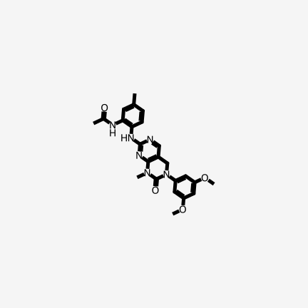 COc1cc(OC)cc(N2Cc3cnc(Nc4ccc(C)cc4NC(C)=O)nc3N(C)C2=O)c1